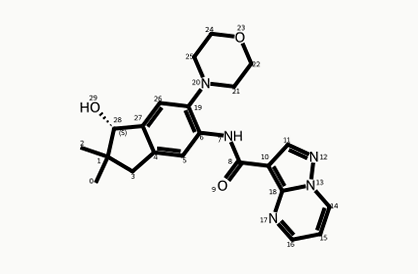 CC1(C)Cc2cc(NC(=O)c3cnn4cccnc34)c(N3CCOCC3)cc2[C@H]1O